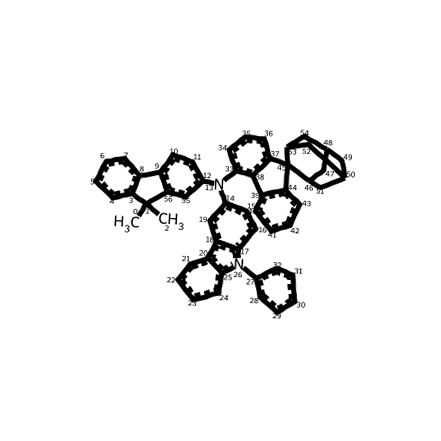 CC1(C)c2ccccc2-c2ccc(N(c3ccc4c(c3)c3ccccc3n4-c3ccccc3)c3cccc4c3-c3ccccc3C43C4CC5CC(C4)CC3C5)cc21